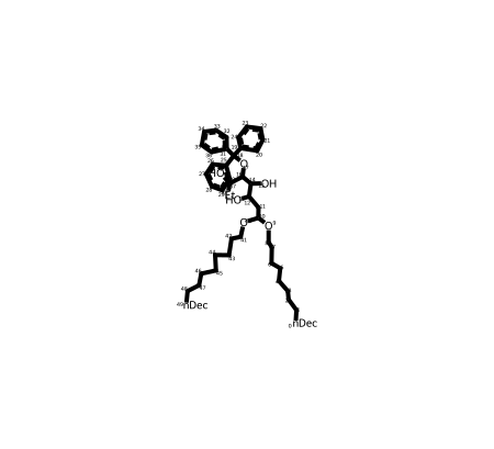 CCCCCCCCCCCCCCCCCCOC(CC(O)C(O)C(OC(c1ccccc1)(c1ccccc1)c1ccccc1)C(O)CC)OCCCCCCCCCCCCCCCCCC